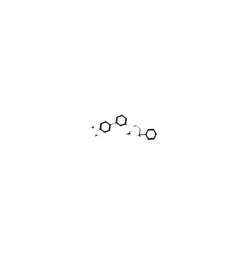 CC1(c2ccccc2)CCN(c2cccc(-c3ccc(S(C)(=O)=O)cc3)c2)C(=O)O1